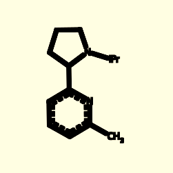 Cc1cccc(C2CCCN2C(C)C)n1